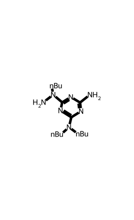 CCCCN(N)c1nc(N)nc(N(CCCC)CCCC)n1